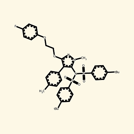 Cc1ccc(-c2c(OCCOc3ccc(F)cc3)nn(C)c2N(S(=O)(=O)c2ccc(C(C)(C)C)cc2)S(=O)(=O)c2ccc(C(C)(C)C)cc2)cc1